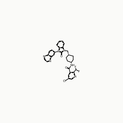 O=C(N[C@H]1CC[C@H](Cn2c(=O)n(-c3ccc4nccnc4c3)c3ccccc32)CC1)c1cc(Cl)cnc1C(F)F